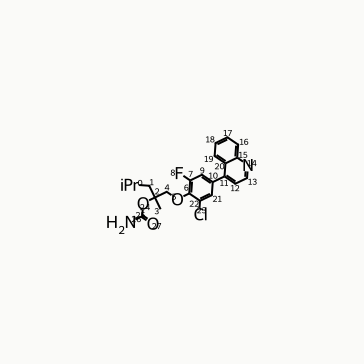 CC(C)CC(C)(COc1c(F)cc(-c2ccnc3ccccc23)cc1Cl)OC(N)=O